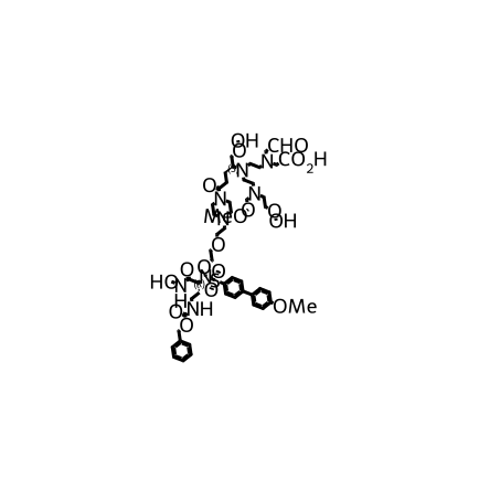 COOCN(CCOO)CCN(CCN(CC=O)CC(=O)O)[C@@H](CCC(=O)N1CCN(CCOCCON([C@H](CCNC(=O)OCc2ccccc2)C(=O)NO)S(=O)(=O)c2ccc(-c3ccc(OC)cc3)cc2)CC1)COO